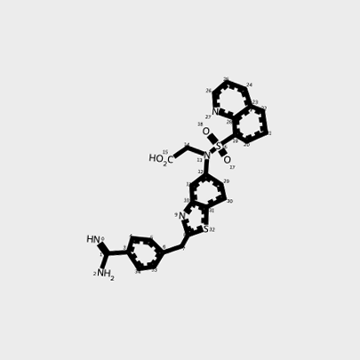 N=C(N)c1ccc(Cc2nc3cc(N(CC(=O)O)S(=O)(=O)c4cccc5cccnc45)ccc3s2)cc1